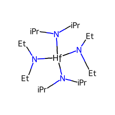 CC[N](CC)[Hf]([N](CC)CC)([N](C(C)C)C(C)C)[N](C(C)C)C(C)C